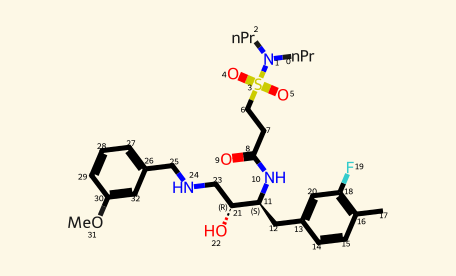 CCCN(CCC)S(=O)(=O)CCC(=O)N[C@@H](Cc1ccc(C)c(F)c1)[C@H](O)CNCc1cccc(OC)c1